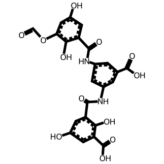 O=COc1cc(O)cc(C(=O)Nc2cc(NC(=O)c3cc(O)cc(C(=O)O)c3O)cc(C(=O)O)c2)c1O